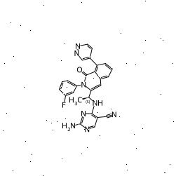 C[C@H](Nc1nc(N)ncc1C#N)c1cc2cccc(-c3ccnnc3)c2c(=O)n1-c1cccc(F)c1